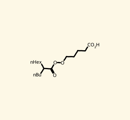 CCCCCCC(CCCC)C(=O)OOCCCCC(=O)O